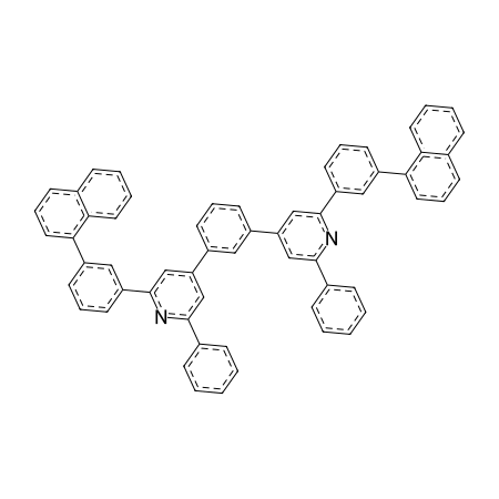 c1ccc(-c2cc(-c3cccc(-c4cc(-c5ccccc5)nc(-c5cccc(-c6cccc7ccccc67)c5)c4)c3)cc(-c3cccc(-c4cccc5ccccc45)c3)n2)cc1